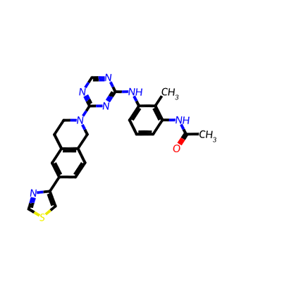 CC(=O)Nc1cccc(Nc2ncnc(N3CCc4cc(-c5cscn5)ccc4C3)n2)c1C